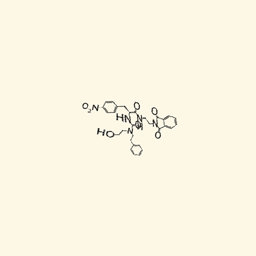 O=C(NCCN1C(=O)c2ccccc2C1=O)[C@H](Cc1ccc([N+](=O)[O-])cc1)NC(=O)N(CCO)CCc1ccccc1